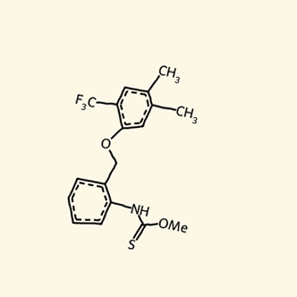 COC(=S)Nc1ccccc1COc1cc(C)c(C)cc1C(F)(F)F